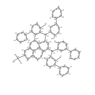 Cc1ccc(-c2ccccc2)cc1N(c1c(C)ccc(-c2ccccc2)c1C)c1cc(N(c2cc(-c3ccccc3)ccc2C)c2c(C)ccc(-c3ccccc3)c2C)c2ccc3cc(C(C)(C)C)cc4ccc1c2c43